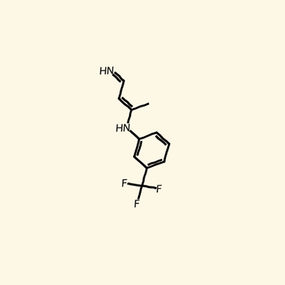 C/C(=C\C=N)Nc1cccc(C(F)(F)F)c1